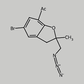 CC(=O)c1cc(Br)cc2c1OC(C)(CN=[N+]=[N-])C2